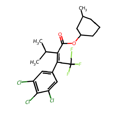 CC1CCCC(OC(=O)C(=C(c2cc(Cl)c(Cl)c(Cl)c2)C(F)(F)F)C(C)C)C1